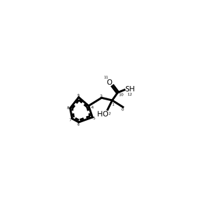 CC(O)(Cc1ccccc1)C(=O)S